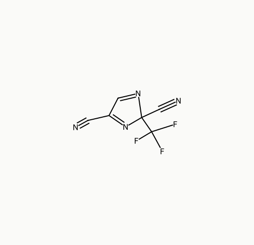 N#CC1=NC(C#N)(C(F)(F)F)N=C1